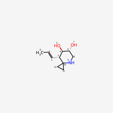 C/C=C/[C@@H]1[C@@H](O)[C@H](O)CNC12CC2